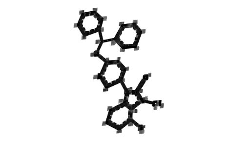 Cn1c(=O)n(-c2ccc(OC(c3ccccc3)c3ccccc3)nc2)c2cccc(Br)c21